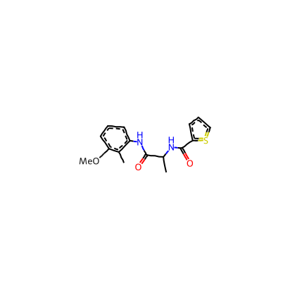 COc1cccc(NC(=O)C(C)NC(=O)c2cccs2)c1C